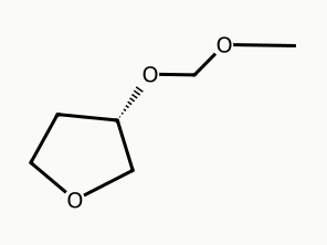 COCO[C@H]1CCOC1